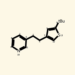 CC(C)(C)c1cc(CCc2cccnc2)cs1